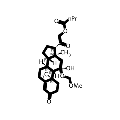 CCCC(=O)OCC(=O)[C@H]1CC[C@H]2[C@@H]3CCC4=CC(=O)CC[C@]4(C)[C@H]3[C@](O)(OCOC)C[C@]12C